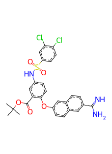 CC(C)(C)OC(=O)c1cc(NS(=O)(=O)c2ccc(Cl)c(Cl)c2)ccc1Oc1ccc2cc(C(=N)N)ccc2c1